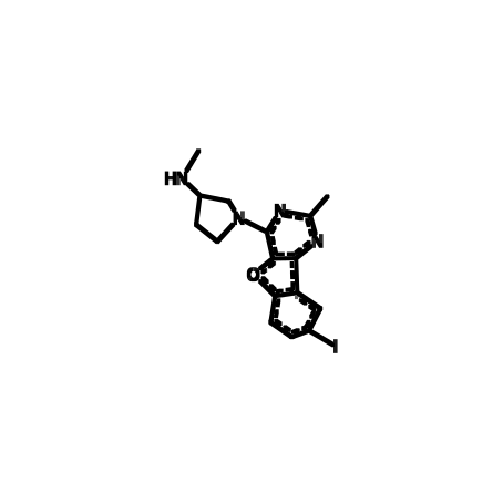 CNC1CCN(c2nc(C)nc3c2oc2ccc(I)cc23)C1